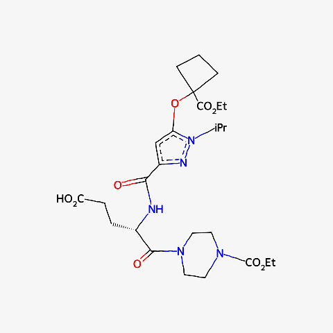 CCOC(=O)N1CCN(C(=O)[C@H](CCC(=O)O)NC(=O)c2cc(OC3(C(=O)OCC)CCC3)n(C(C)C)n2)CC1